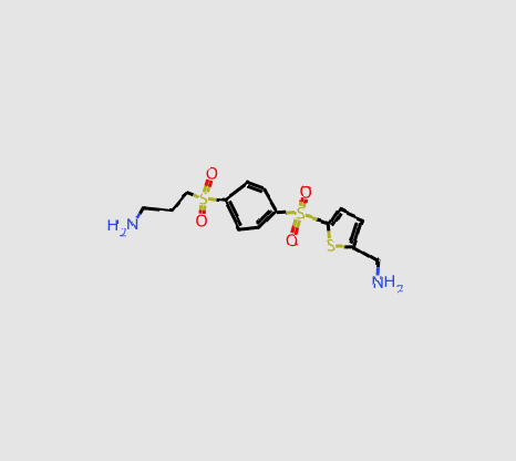 NCCCS(=O)(=O)c1ccc(S(=O)(=O)c2ccc(CN)s2)cc1